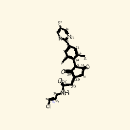 Cc1cc(-c2ncc(F)cn2)cc(C)c1C1C(=O)CC(CC(=O)NC/C=C/Cl)C1=O